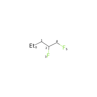 [CH2]CCC(F)CF